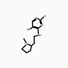 CN1CCCC1CCNc1nc(Cl)ncc1Br